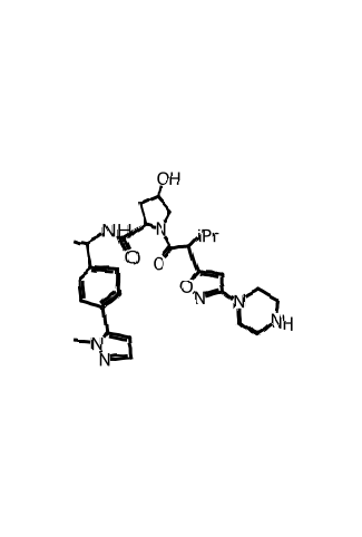 CC(NC(=O)C1CC(O)CN1C(=O)C(c1cc(N2CCNCC2)no1)C(C)C)c1ccc(-c2ccnn2C)cc1